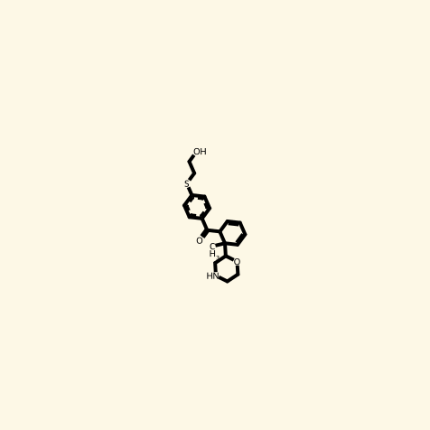 CC1(C2CNCCO2)C=CC=CC1C(=O)c1ccc(SCCO)cc1